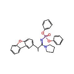 CC(C(=NP(=O)(Oc1ccccc1)Oc1ccccc1)N1CCCC1)c1ccc2oc3ccccc3c2c1